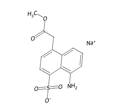 COC(=O)Cc1ccc(S(=O)(=O)[O-])c2c(N)cccc12.[Na+]